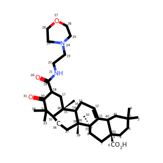 CC1(C)CC[C@]2(C(=O)O)CC[C@]3(C)C(=CCC4[C@@]5(C)CC(C(=O)NCCN6CCOCC6)C(=O)C(C)(C)C5CC[C@]43C)C2C1